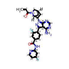 C=CC(=O)N1C[C@@H]2C[C@@H]1[C@H](n1nc(-c3ccc(C(=O)Nc4cc(F)ccn4)cc3F)c3c(N)ncnc31)C2